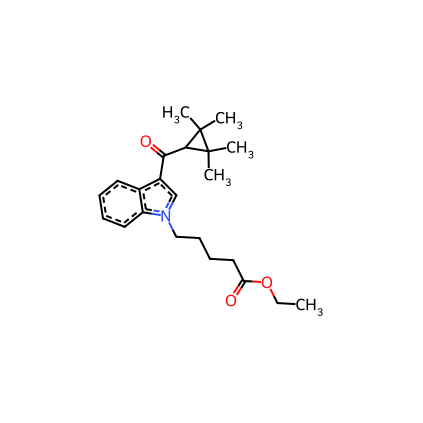 CCOC(=O)CCCCn1cc(C(=O)C2C(C)(C)C2(C)C)c2ccccc21